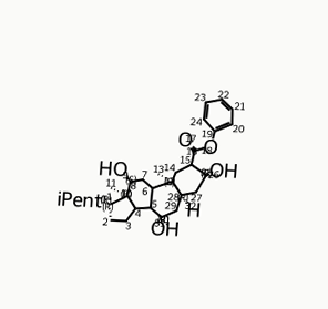 CCC[C@@H](C)[C@H]1CCC2C3C(C[C@H](O)[C@@]21C)[C@@]1(C)CC(C(=O)Oc2ccccc2)[C@@H](O)C[C@H]1C[C@H]3O